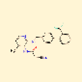 Cc1ccnc(NCc2ccc(-c3ccccc3C(F)F)cc2)c1NC(=O)CC#N